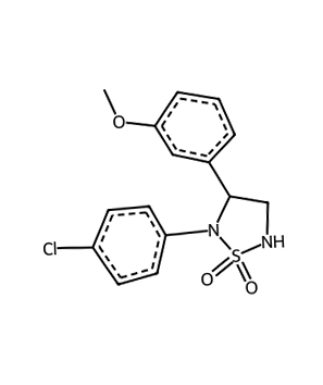 COc1cccc(C2CNS(=O)(=O)N2c2ccc(Cl)cc2)c1